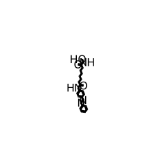 O=C(CCCCCCC(=O)Nc1ccc(N=Nc2ccccc2)cc1)NO